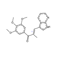 COc1cc(C(=O)/C(C)=C/c2c[nH]c3ncccc23)cc(OC)c1OC